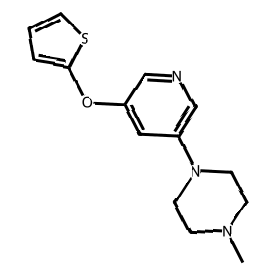 CN1CCN(c2cncc(Oc3cccs3)c2)CC1